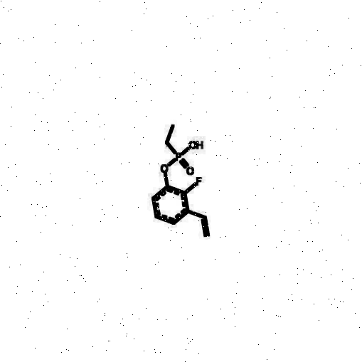 C=Cc1cccc(OP(=O)(O)CC)c1F